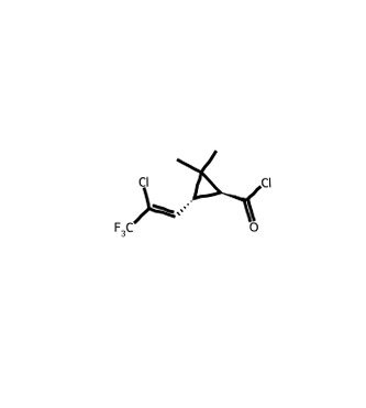 CC1(C)[C@@H](C=C(Cl)C(F)(F)F)[C@@H]1C(=O)Cl